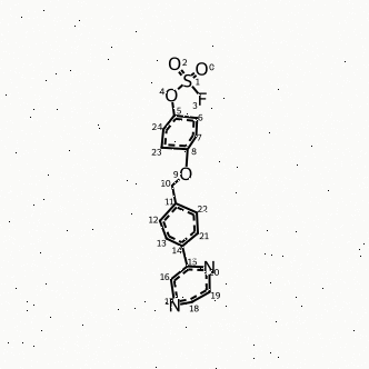 O=S(=O)(F)Oc1ccc(OCc2ccc(-c3cnccn3)cc2)cc1